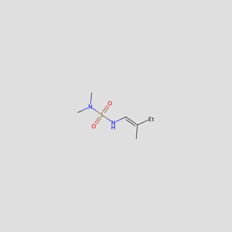 CC/C(C)=C/NS(=O)(=O)N(C)C